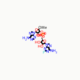 CO[C@H]1O[C@@H](n2cnc3c(N)ncnc32)[C@@H](O)[C@H]1OP(=O)(O)OC[C@H]1O[C@@H](n2cnc3c(N)nc(F)nc32)C(O)[C@H]1O